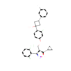 Cc1cccc(C2CC(O)(c3ccc(OCc4c(-c5c(Cl)cccc5Cl)noc4C4CC4)cc3Cl)C2)c1